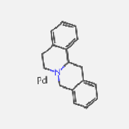 [Pd].c1ccc2c(c1)CC1c3ccccc3CCN1C2